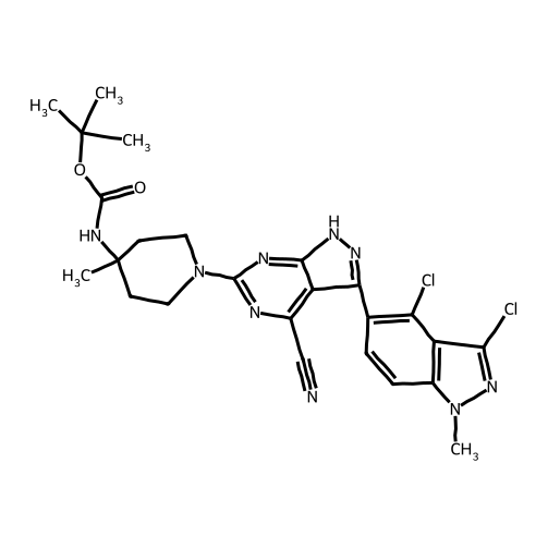 Cn1nc(Cl)c2c(Cl)c(-c3n[nH]c4nc(N5CCC(C)(NC(=O)OC(C)(C)C)CC5)nc(C#N)c34)ccc21